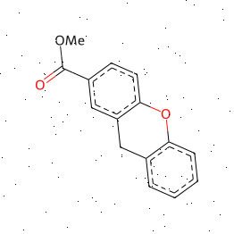 COC(=O)c1ccc2c(c1)Cc1ccccc1O2